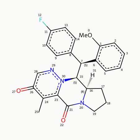 COc1ccccc1[C@H](c1ccc(F)cc1)[C@H]1[C@H]2CCCN2C(=O)c2c(C)c(=O)cnn21